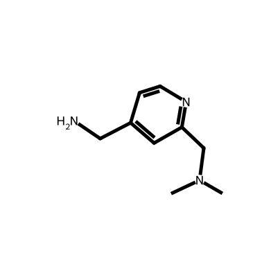 CN(C)Cc1cc(CN)ccn1